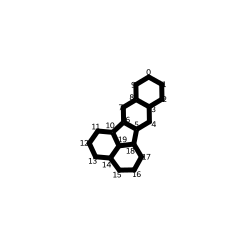 C1CCC2CC3C(CC2C1)C1CCCC2CCCC3C21